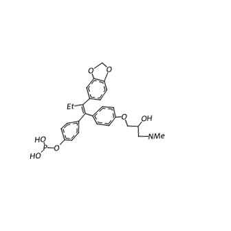 CC/C(=C(/c1ccc(OCC(O)CNC)cc1)c1ccc(OP(O)O)cc1)c1ccc2c(c1)OCO2